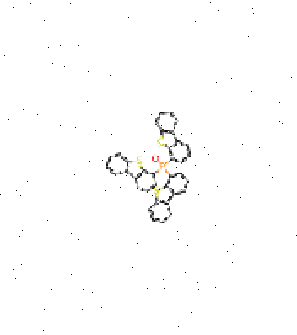 O=P(c1cccc2c1sc1ccccc12)(c1cccc2c1sc1ccccc12)c1cccc2c1sc1ccccc12